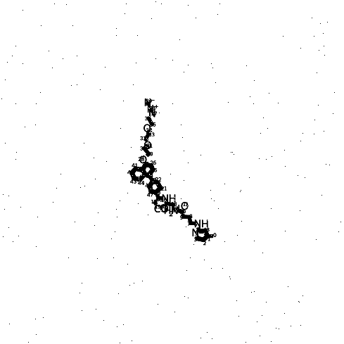 Cc1ccnc(NCCCC(=O)NCC(=O)N[C@@H](CC(=O)O)c2ccc(-c3ccc(OCCOCCOCCN=[N+]=[N-])c4ccccc34)cc2)c1